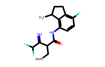 CNCC(C(=N)C(F)F)C(=O)Nc1ccc(F)c2c1C(C)CC2